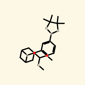 COC(CN1C2CC1CN(c1cccc(B3OC(C)(C)C(C)(C)O3)c1)C2)OC